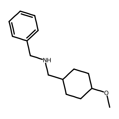 COC1CCC(CNCc2ccccc2)CC1